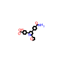 NC(=O)c1ccc(-c2cc(-c3ccc(C(=O)O)cc3)nc(-c3ccco3)c2)cc1